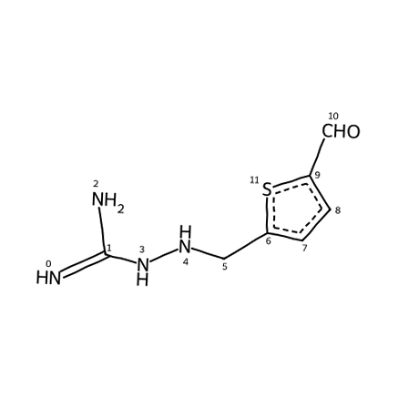 N=C(N)NNCc1ccc(C=O)s1